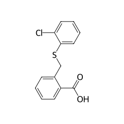 O=C(O)c1ccccc1CSc1ccccc1Cl